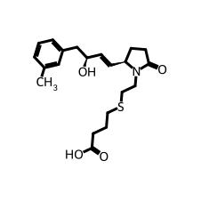 Cc1cccc(C[C@H](O)/C=C/[C@H]2CCC(=O)N2CCSCCCC(=O)O)c1